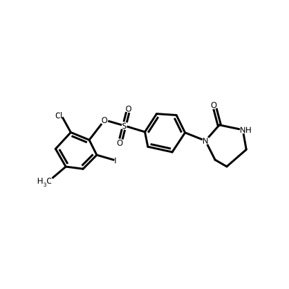 Cc1cc(Cl)c(OS(=O)(=O)c2ccc(N3CCCNC3=O)cc2)c(I)c1